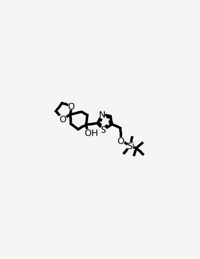 CC(C)(C)[Si](C)(C)OCc1cnc(C2(O)CCC3(CC2)OCCO3)s1